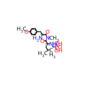 COc1ccc(C[C@H](N)C(=O)N(C)C(=O)[C@H](CC(C)C)NCP(=O)(O)O)cc1